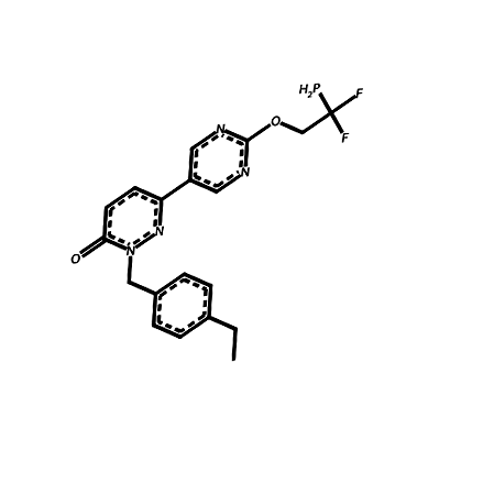 CCc1ccc(Cn2nc(-c3cnc(OCC(F)(F)P)nc3)ccc2=O)cc1